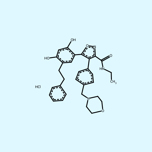 CCNC(=O)c1noc(-c2cc(CCc3ccccc3)c(O)cc2O)c1-c1ccc(CN2CCOCC2)cc1.Cl